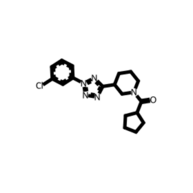 O=C(C1CCCC1)N1CCCC(c2nnn(-c3cccc(Cl)c3)n2)C1